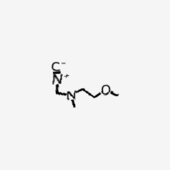 [C-]#[N+]CN(C)CCOC